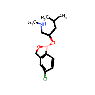 CNCC(CC(C)C)OB1OCc2cc(Cl)ccc21